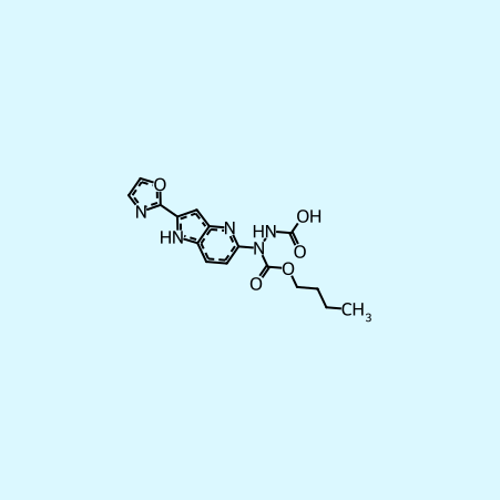 CCCCOC(=O)N(NC(=O)O)c1ccc2[nH]c(-c3ncco3)cc2n1